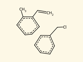 C=Cc1ccccc1C.ClCc1ccccc1